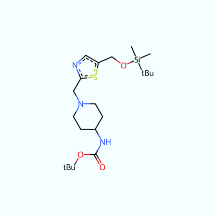 CC(C)(C)OC(=O)NC1CCN(Cc2ncc(CO[Si](C)(C)C(C)(C)C)s2)CC1